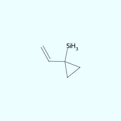 C=CC1([SiH3])CC1